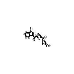 O=C(NCCO)c1csc(C(=O)c2c[nH]c3ccccc23)n1